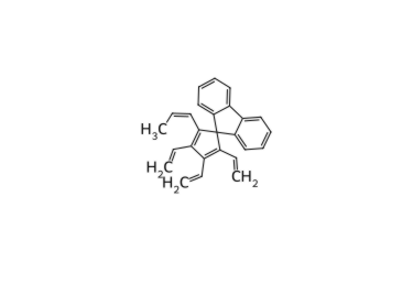 C=CC1=C(C=C)C2(C(/C=C\C)=C1C=C)c1ccccc1-c1ccccc12